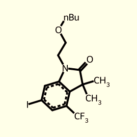 CCCCOCCN1C(=O)C(C)(C)c2c1cc(I)cc2C(F)(F)F